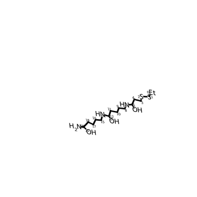 CCSSCCC(O)NCCCCC(O)NCCCCC(N)O